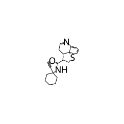 C#CC1(NC(=O)C2CSC34CC=CC=C3N=CCC24)CCCCC1